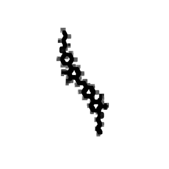 C=CCCOc1ccc(-c2ccc(/C=C/c3ccc(C4CCC(OCCCC)CC4)c(F)c3F)cc2)c(F)c1F